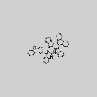 c1ccc2c(-c3ccc4oc5ccccc5c4c3)nc(-n3c4ccccc4c4c5c6ccccc6c6ccccc6c5c5c6ccccc6sc5c43)nc2c1